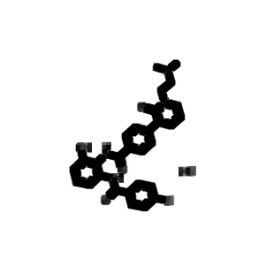 CN(C)CCn1cccc(-c2ccc(C(=O)Nc3c(O)cccc3NC(=O)c3ccc(Cl)cc3)cc2)c1=O.Cl